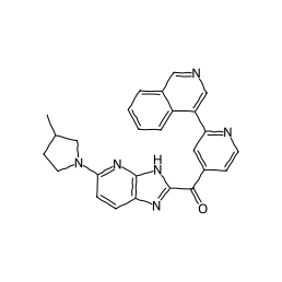 CC1CCN(c2ccc3nc(C(=O)c4ccnc(-c5cncc6ccccc56)c4)[nH]c3n2)C1